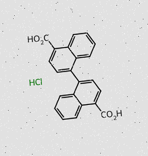 Cl.O=C(O)c1ccc(-c2ccc(C(=O)O)c3ccccc23)c2ccccc12